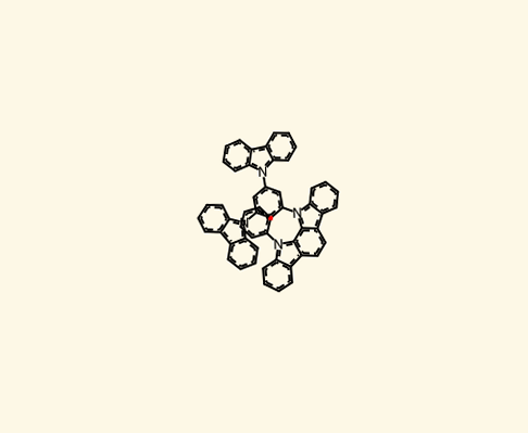 c1ccc(-n2c3ccccc3c3ccc4c5ccccc5n(-c5cc(-n6c7ccccc7c7ccccc76)cc(-n6c7ccccc7c7ccccc76)c5)c4c32)cc1